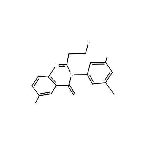 NCCc1nc2ccc(F)cc2c(=O)n1-c1cc(F)cc(F)c1